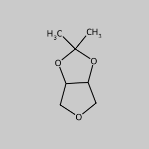 CC1(C)OC2COCC2O1